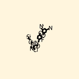 CN(C)Cc1cc(C#N)cc(Oc2c(Cl)ccc(CNC(=O)c3c(Cl)ncn3COCC[Si](C)(C)C)c2F)c1